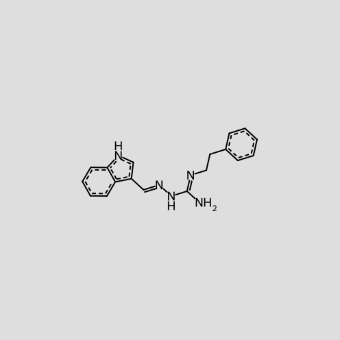 NC(=NCCc1ccccc1)NN=Cc1c[nH]c2ccccc12